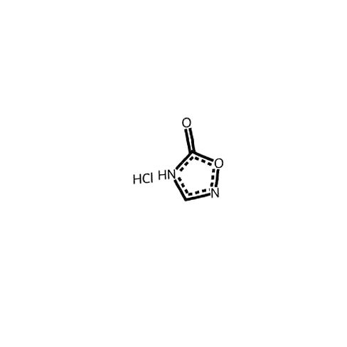 Cl.O=c1[nH]cno1